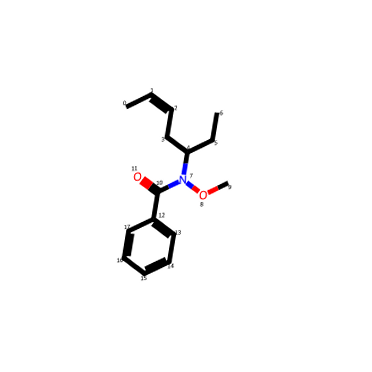 C/C=C\CC(CC)N(OC)C(=O)c1ccccc1